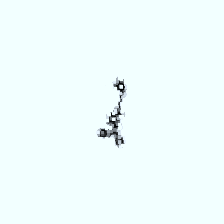 CC1=C(C(=O)OCCCCOc2ccc(Cl)c(Cl)c2)C(C)C(C(=O)OC(CN2CCOCC2)CN2CCOCC2)=C(C)N1